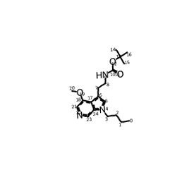 CCCCn1cc(CCNC(=O)OC(C)(C)C)c2c(OC)cncc21